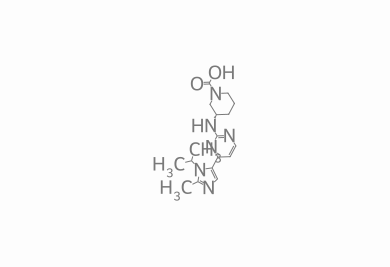 Cc1ncc(-c2ccnc(N[C@@H]3CCCN(C(=O)O)C3)n2)n1C(C)C